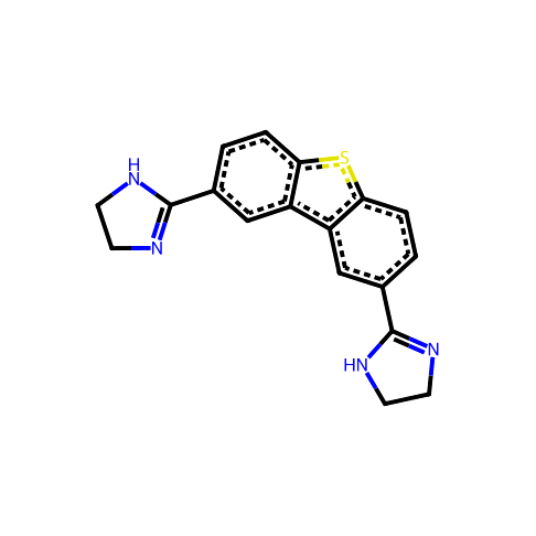 c1cc2sc3ccc(C4=NCCN4)cc3c2cc1C1=NCCN1